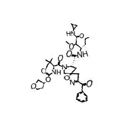 CCC[C@H](NC(=O)[C@@H]1CC2(CC(C(=O)c3ccccc3)=NO2)CN1C(=O)[C@@H](NC(=O)O[C@H]1CCOC1)C(C)(C)C)C(OC)C(=O)NC1CC1